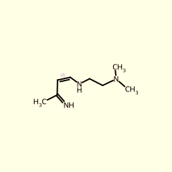 CC(=N)/C=C\NCCN(C)C